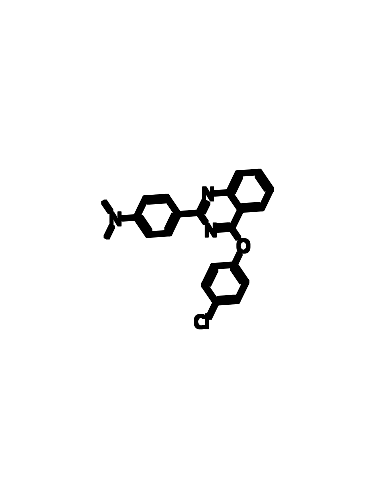 CN(C)c1ccc(-c2nc(Oc3ccc(Cl)cc3)c3ccccc3n2)cc1